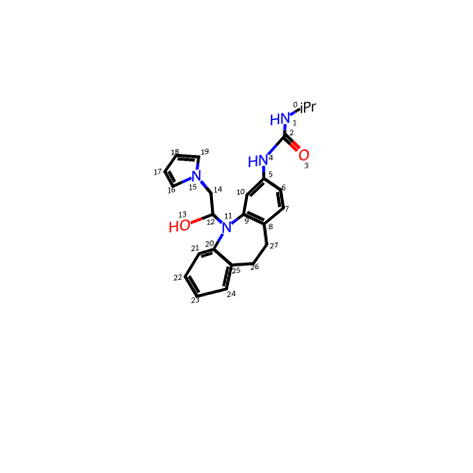 CC(C)NC(=O)Nc1ccc2c(c1)N(C(O)Cn1cccc1)c1ccccc1CC2